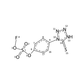 O=S(=O)(OF)Oc1ccc(-n2nn[nH]c2=S)cc1